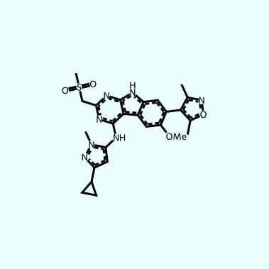 COc1cc2c(cc1-c1c(C)noc1C)[nH]c1nc(CS(C)(=O)=O)nc(Nc3cc(C4CC4)nn3C)c12